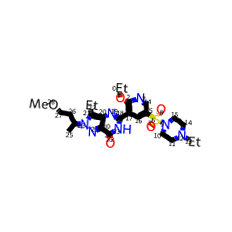 CCOc1ncc(S(=O)(=O)N2CCN(CC)CC2)cc1-c1nc2c(CC)n(C(C)CCOC)nc2c(=O)[nH]1